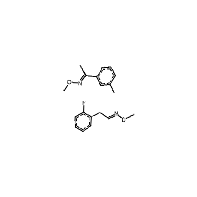 CON=C(C)c1cccc(C)c1.CON=CCc1ccccc1F